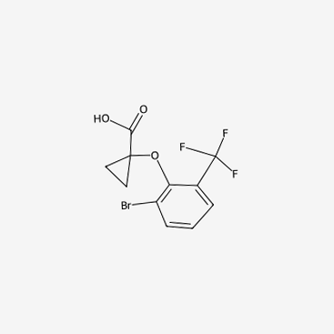 O=C(O)C1(Oc2c(Br)cccc2C(F)(F)F)CC1